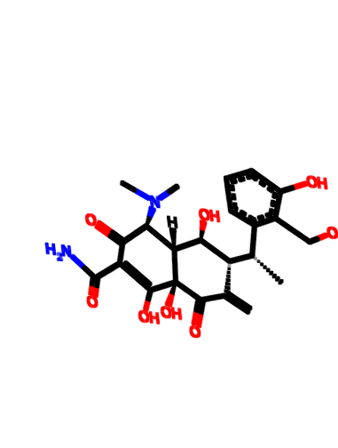 C=C1C(=O)[C@]2(O)C(O)=C(C(N)=O)C(=O)[C@@H](N(C)C)[C@@H]2[C@@H](O)[C@@H]1[C@@H](C)c1cccc(O)c1CO